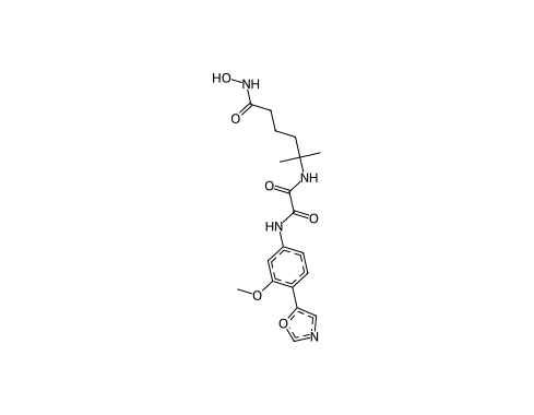 COc1cc(NC(=O)C(=O)NC(C)(C)CCCC(=O)NO)ccc1-c1cnco1